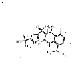 CC(N=S(N)(=O)c1cnc(C(C)(C)O)s1)Nc1c(C(C)C)ccc(F)c1C(C)N